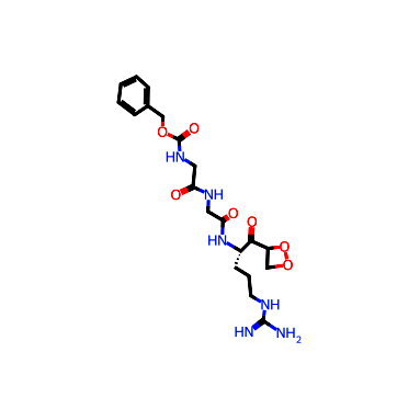 N=C(N)NCCC[C@H](NC(=O)CNC(=O)CNC(=O)OCc1ccccc1)C(=O)C1COO1